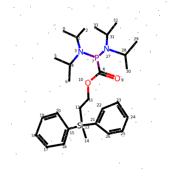 CC(C)N(C(C)C)P(C(=O)OCC[Si](C)(c1ccccc1)c1ccccc1)N(C(C)C)C(C)C